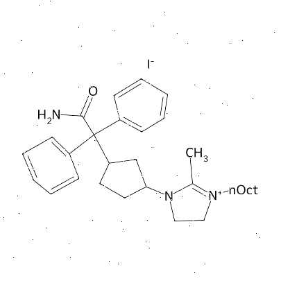 CCCCCCCC[N+]1=C(C)N(C2CCC(C(C(N)=O)(c3ccccc3)c3ccccc3)C2)CC1.[I-]